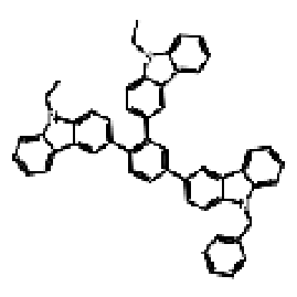 CCn1c2ccccc2c2cc(-c3ccc(-c4ccc5c(c4)c4ccccc4n5Cc4ccccc4)cc3-c3ccc4c(c3)c3ccccc3n4CC)ccc21